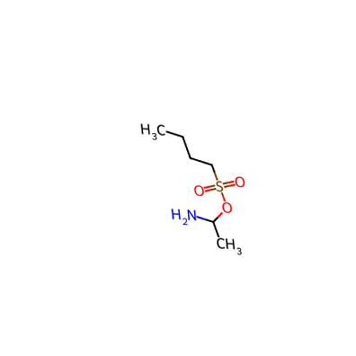 CCCCS(=O)(=O)OC(C)N